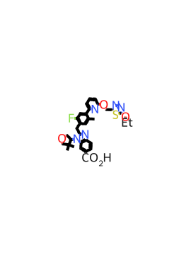 CCOc1nnc(COc2cccc(-c3cc(F)c(Cc4nc5ccc(C(=O)O)cc5n4C4COCC4(C)C)cc3C)n2)s1